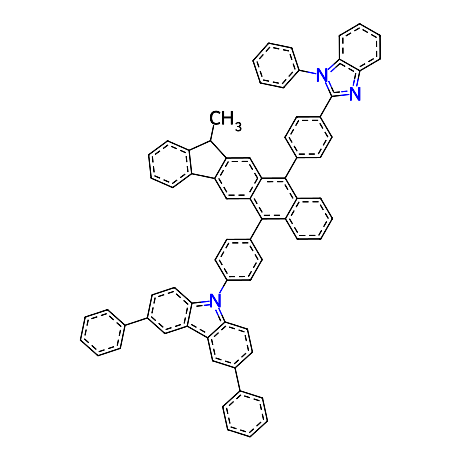 CC1c2ccccc2-c2cc3c(-c4ccc(-n5c6ccc(-c7ccccc7)cc6c6cc(-c7ccccc7)ccc65)cc4)c4ccccc4c(-c4ccc(-c5nc6ccccc6n5-c5ccccc5)cc4)c3cc21